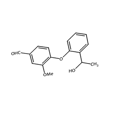 COc1cc(C=O)ccc1Oc1ccccc1C(C)O